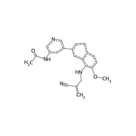 C=C(C#N)CNc1c(OC)ccc2ccc(-c3cncc(NC(C)=O)c3)cc12